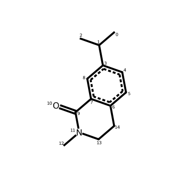 CC(C)c1ccc2c(c1)C(=O)N(C)CC2